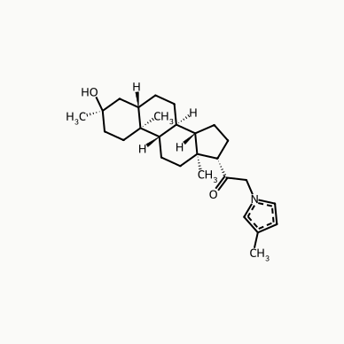 Cc1ccn(CC(=O)[C@H]2CC[C@H]3[C@@H]4CC[C@H]5C[C@](C)(O)CC[C@]5(C)[C@H]4CC[C@]23C)c1